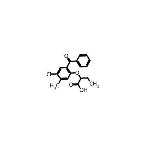 CCC(Oc1cc(C)c(Cl)cc1C(=O)c1ccccc1)C(=O)O